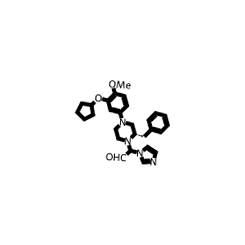 COc1ccc(N2CCN(C(C=O)n3ccnc3)[C@@H](Cc3ccccc3)C2)cc1OC1CCCC1